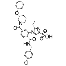 CCc1nc(S(=O)(=O)O)cn1-c1cc(C(=O)N2CCCC(Oc3ccccc3)C2)ccc1C(=O)NCc1ccc(Cl)cc1